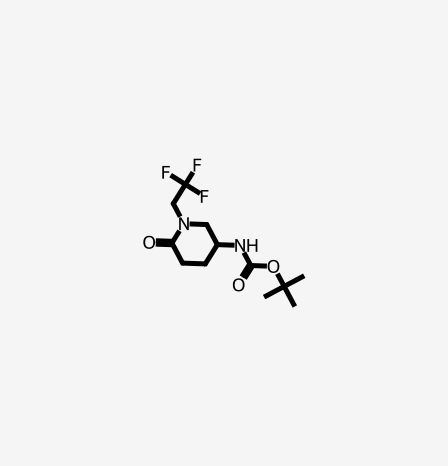 CC(C)(C)OC(=O)NC1CCC(=O)N(CC(F)(F)F)C1